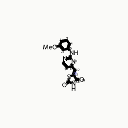 COc1cccc(Nc2nccc(/C=C3\SC(=O)NC3=O)n2)c1